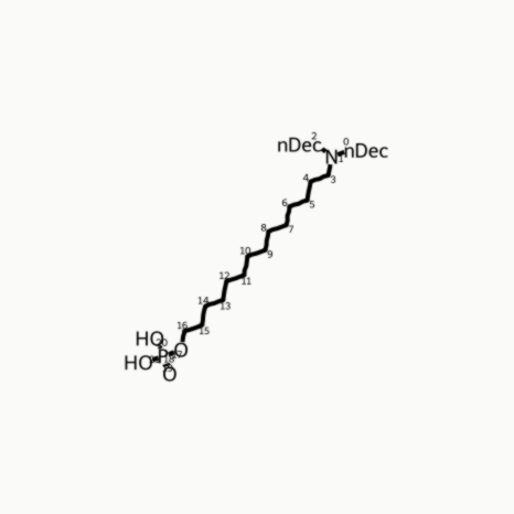 CCCCCCCCCCN(CCCCCCCCCC)CCCCCCCCCCCCCCOP(=O)(O)O